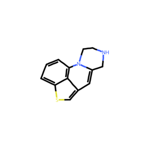 C1=C2CNCCN2c2cccc3scc1c23